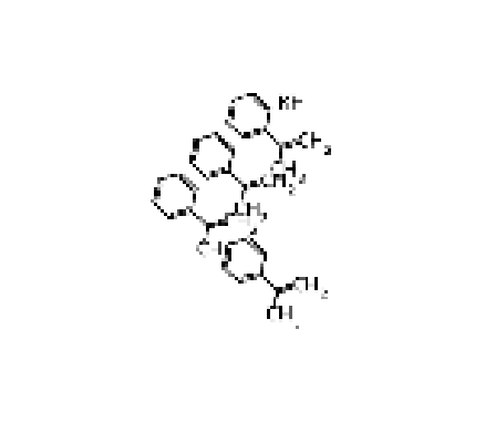 C=C(C)c1ccccc1.C=C(C)c1ccccc1.C=C(C)c1ccccc1.C=C(C)c1ccccc1.[KH]